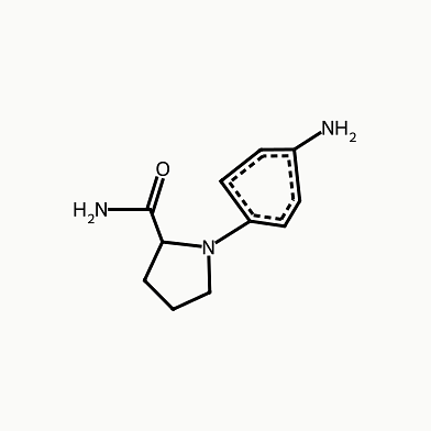 NC(=O)C1CCCN1c1ccc(N)cc1